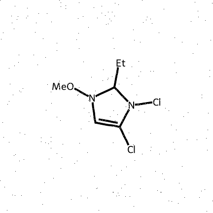 CCC1N(OC)C=C(Cl)N1Cl